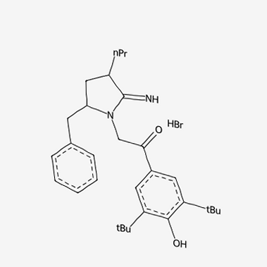 Br.CCCC1CC(Cc2ccccc2)N(CC(=O)c2cc(C(C)(C)C)c(O)c(C(C)(C)C)c2)C1=N